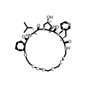 CC(C)C[C@H]1NC(=O)c2ccccc2OCCCCCCCCCCCNC(=O)[C@H](Cc2cccnc2)N(C)C(=O)[C@H]2C[C@H](O)CN2C1=O